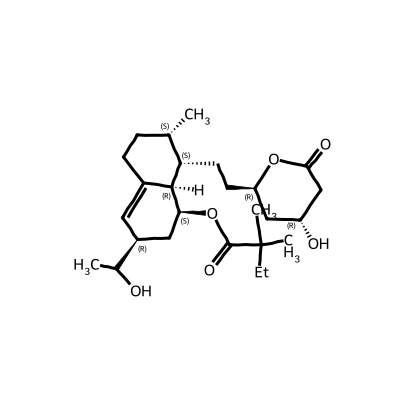 CCC(C)(C)C(=O)O[C@H]1C[C@@H](C(C)O)C=C2CC[C@H](C)[C@H](CC[C@@H]3C[C@@H](O)CC(=O)O3)[C@H]21